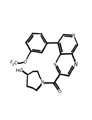 O=C(c1cnc2cncc(-c3cccc(OC(F)(F)F)c3)c2n1)N1CCC(O)C1